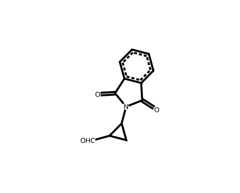 O=CC1CC1N1C(=O)c2ccccc2C1=O